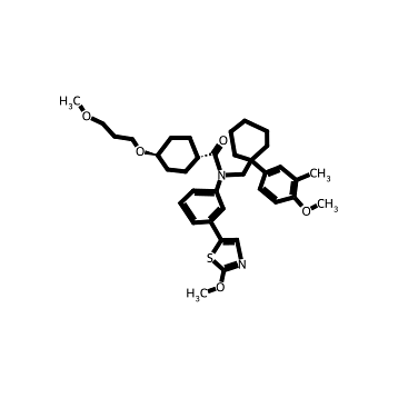 COCCCO[C@H]1CC[C@H](C(=O)N(CC2(c3ccc(OC)c(C)c3)CCCCC2)c2cccc(-c3cnc(OC)s3)c2)CC1